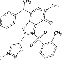 Cc1ccccc1S(=O)(=O)n1c(-c2cnn(C)c2)cc2c(C(C)c3ccccc3)cn(C)c(=O)c21